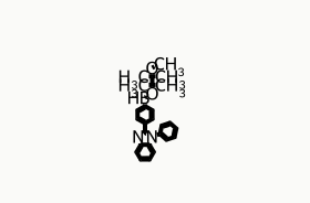 COC(C)(C)C(C)(C)OBc1ccc(-c2nc3ccccc3n2-c2ccccc2)cc1